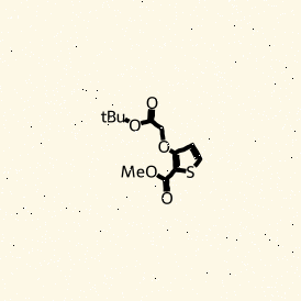 COC(=O)c1sccc1OCC(=O)OC(C)(C)C